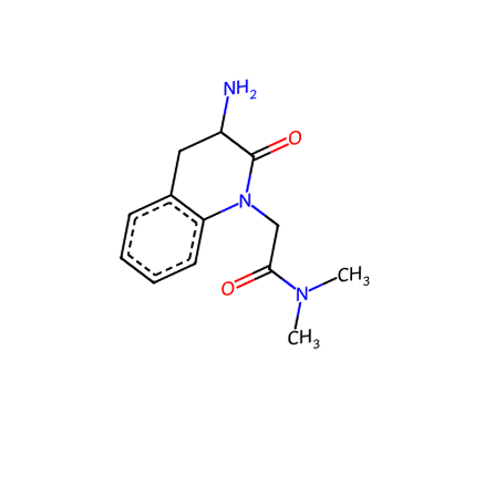 CN(C)C(=O)CN1C(=O)C(N)Cc2ccccc21